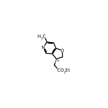 CCOC(=O)C[C@@H]1COc2cc(C)ncc21